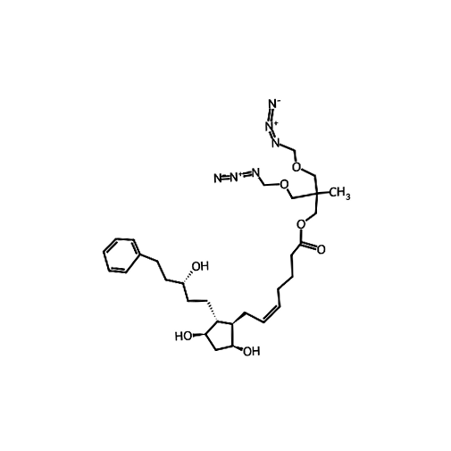 CC(COCN=[N+]=[N-])(COCN=[N+]=[N-])COC(=O)CCC/C=C\C[C@@H]1[C@@H](CC[C@@H](O)CCc2ccccc2)[C@H](O)C[C@@H]1O